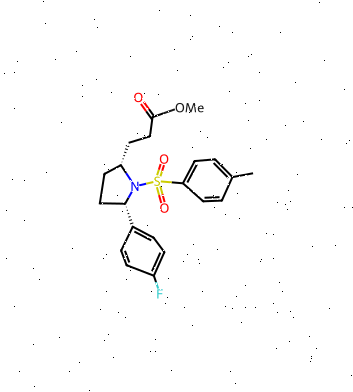 COC(=O)CC[C@H]1CC[C@@H](c2ccc(F)cc2)N1S(=O)(=O)c1ccc(C)cc1